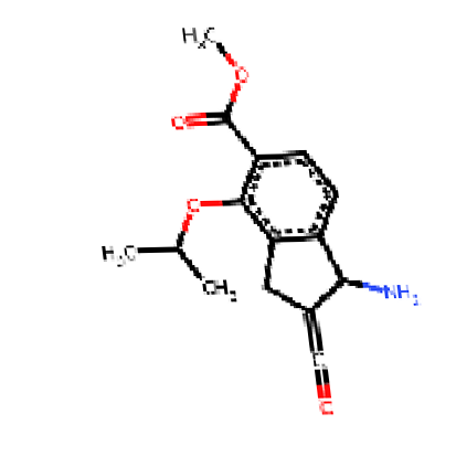 COC(=O)c1ccc2c(c1OC(C)C)CC(=C=O)C2N